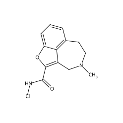 CN1CCc2cccc3oc(C(=O)NCl)c(c23)C1